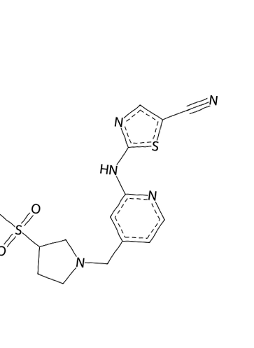 CS(=O)(=O)C1CCN(Cc2ccnc(Nc3ncc(C#N)s3)c2)C1